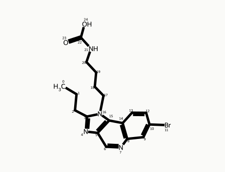 CCCc1nc2cnc3cc(Br)ccc3c2n1CCCCNC(=O)O